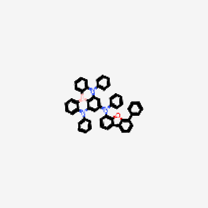 c1ccc(-c2cccc3c2oc2c(N(c4ccccc4)c4cc5c6c(c4)N(c4ccccc4)c4ccccc4B6c4ccccc4N5c4ccccc4)cccc23)cc1